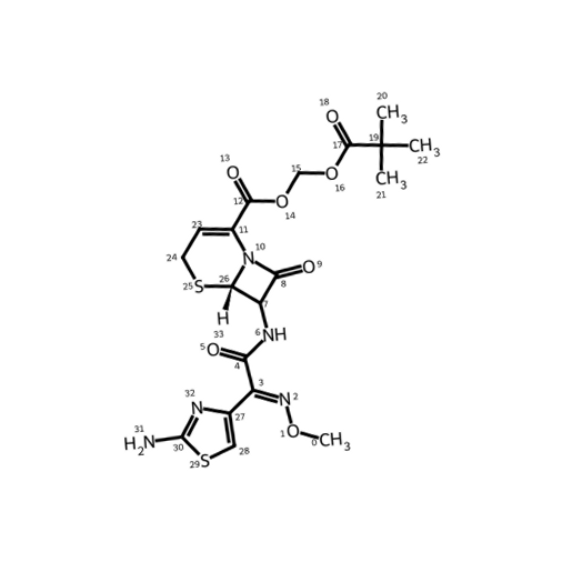 CON=C(C(=O)NC1C(=O)N2C(C(=O)OCOC(=O)C(C)(C)C)=CCS[C@@H]12)c1csc(N)n1